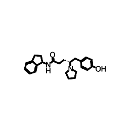 O=C(CC[C@H](Cc1ccc(O)cc1)N1CCCC1)NC1CCc2ccccc21